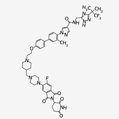 Cc1cc(-c2ccc(OCCN3CCC(CN4CCN(c5cc6c(cc5F)C(=O)N(C5CCC(=O)NC5=O)C6=O)CC4)CC3)cc2)ccc1-n1cc(C(=O)NCc2nc(C(C)(C)C(F)(F)F)n[nH]2)cn1